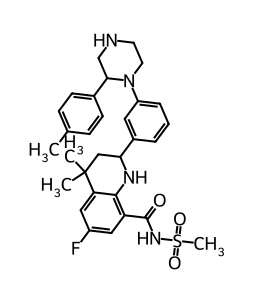 Cc1ccc(C2CNCCN2c2cccc(C3CC(C)(C)c4cc(F)cc(C(=O)NS(C)(=O)=O)c4N3)c2)cc1